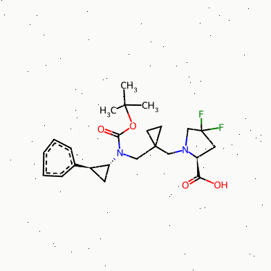 CC(C)(C)OC(=O)N(CC1(CN2CC(F)(F)C[C@H]2C(=O)O)CC1)[C@@H]1C[C@H]1c1ccccc1